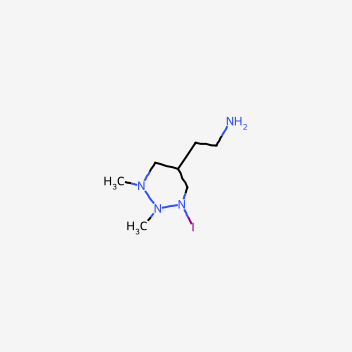 CN1CC(CCN)CN(I)N1C